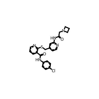 O=C(CN1CCC1)Nc1cc(CSc2ncccc2C(=O)Nc2ccc(Cl)cc2)ccn1